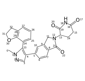 Cn1ncc(-c2ccc3c(c2)CN(C2CCC(=O)NC2=O)C3=O)c1-c1cccc2c1OCC2